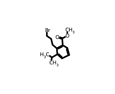 COC(=O)c1cccc(C(C)C)c1CCCBr